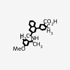 COc1cc(F)cc([C@@H](C)NC(C)c2cc(-c3ccc(C)c(C(=O)O)c3)c3ccccc3c2)c1